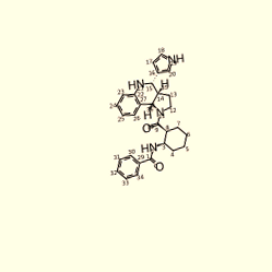 O=C(N[C@@H]1CCCC[C@@H]1C(=O)N1CC[C@H]2[C@@H](c3cc[nH]c3)Nc3ccccc3[C@H]21)c1ccccc1